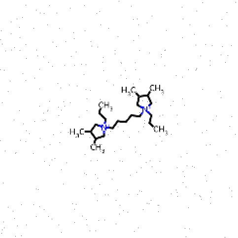 CCC[N+]1(CCCCC[N+]2(CCC)CC(C)C(C)C2)CC(C)C(C)C1